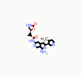 Cc1ccncc1-c1cc2cc(NC(=O)[C@@H]3C[C@H]3C3CNC(=O)O3)ncc2c(N)n1